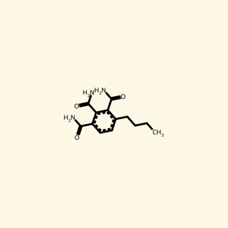 CCCCc1ccc(C(N)=O)c(C(N)=O)c1C(N)=O